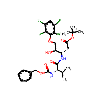 CC(C)[C@H](NC(=O)OCc1ccccc1)C(=O)N[C@@H](CC(=O)OC(C)(C)C)C(O)COc1c(F)c(F)cc(F)c1F